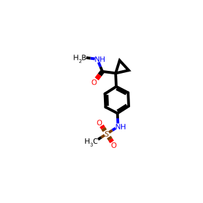 BNC(=O)C1(c2ccc(NS(C)(=O)=O)cc2)CC1